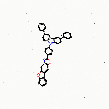 c1ccc(-c2ccc3c(c2)c2cc(-c4ccccc4)ccc2n3-c2ccc(-c3nc4cc5oc6ccccc6c5cc4o3)cc2)cc1